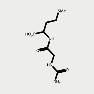 CSCCC(NC(=O)CNC(N)=O)C(=O)O